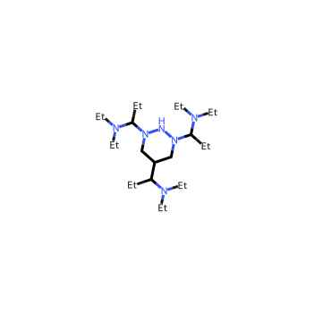 CCC(C1CN(C(CC)N(CC)CC)NN(C(CC)N(CC)CC)C1)N(CC)CC